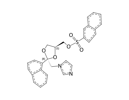 O=S(=O)(OC[C@@H]1CO[C@](Cn2ccnc2)(c2cccc3ccccc23)O1)c1ccc2ccccc2c1